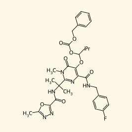 Cc1nnc(C(=O)NC(C)(C)c2nc(C(=O)NCc3ccc(F)cc3)c(OC(OC(=O)OCc3ccccc3)C(C)C)c(=O)n2C)o1